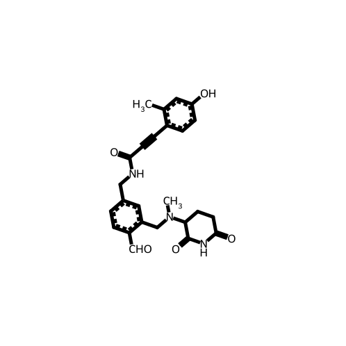 Cc1cc(O)ccc1C#CC(=O)NCc1ccc(C=O)c(CN(C)C2CCC(=O)NC2=O)c1